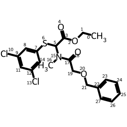 CCOC(=O)C(Sc1cc(Cl)cc(Cl)c1)N(C)C(=O)COCc1ccccc1